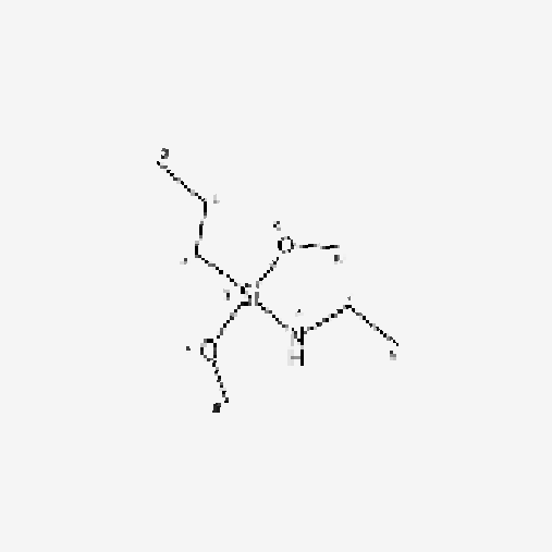 CCC[Si](NCC)(OC)OC